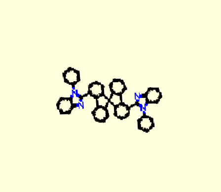 c1ccc(-n2c(-c3cccc4c3-c3ccccc3C43c4ccccc4-c4c(-c5nc6ccccc6n5-c5ccccc5)cccc43)nc3ccccc32)cc1